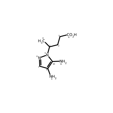 CC(CCC(=O)O)n1ncc(N)c1N